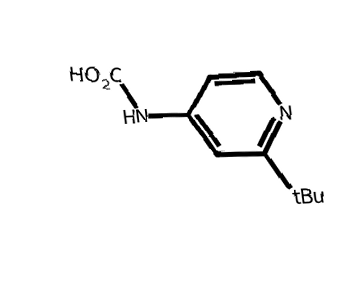 CC(C)(C)c1cc(NC(=O)O)ccn1